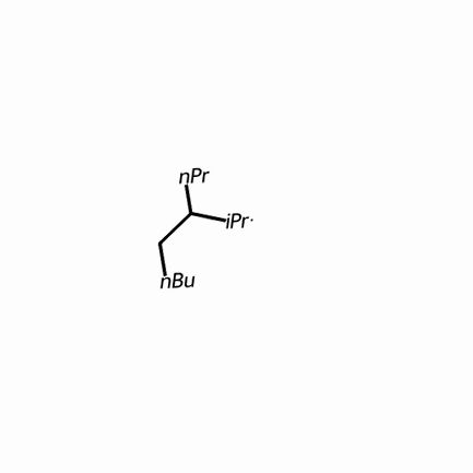 CCCCCC(CCC)[C](C)C